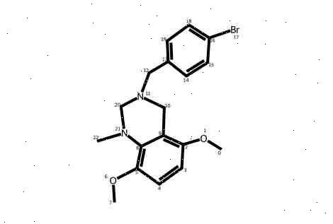 COc1ccc(OC)c2c1CN(Cc1ccc(Br)cc1)CN2C